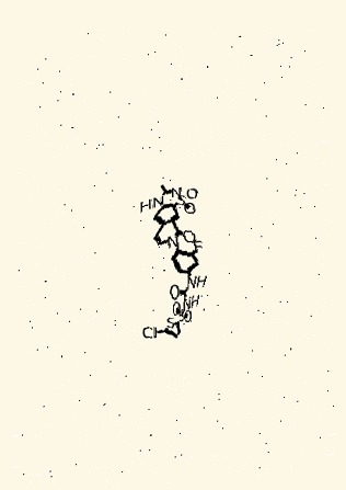 CC1=NS(=O)(=O)c2cc3c(=O)n(-c4ccc(NC(=O)NS(=O)(=O)c5ccc(Cl)s5)cc4F)ccc3cc2N1